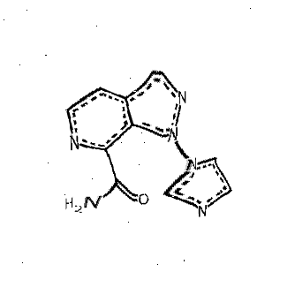 NC(=O)c1nccc2cnn(-n3ccnc3)c12